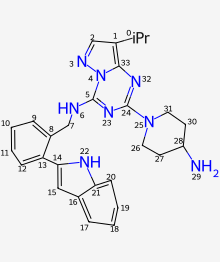 CC(C)c1cnn2c(NCc3ccccc3-c3cc4ccccc4[nH]3)nc(N3CCC(N)CC3)nc12